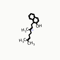 CC(C)=CCC/C(C)=C/Cc1c(O)ccc2ccccc12